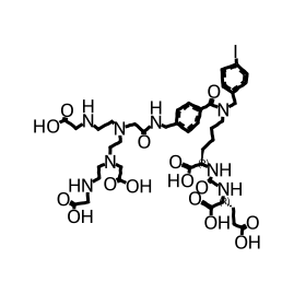 O=C(O)CC[C@@H](NC(=O)N[C@H](CCCCN(Cc1ccc(I)cc1)C(=O)c1ccc(CNC(=O)CN(CCNCC(=O)O)CCN(CCNCC(=O)O)CC(=O)O)cc1)C(=O)O)C(=O)O